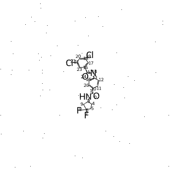 O=C(NC1CCC(F)(F)C1)c1ccc2nc(-c3cc(Cl)cc(Cl)c3)oc2c1